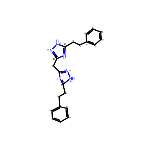 c1ccc(CCc2nc(Cc3n[nH]c(CCc4ccccc4)n3)n[nH]2)cc1